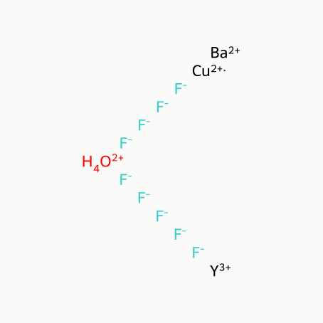 [Ba+2].[Cu+2].[F-].[F-].[F-].[F-].[F-].[F-].[F-].[F-].[F-].[OH4+2].[Y+3]